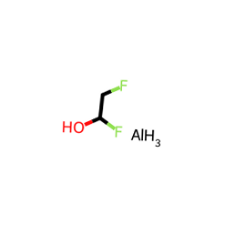 OC(F)CF.[AlH3]